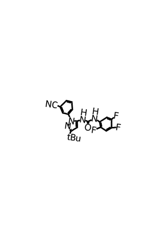 CC(C)(C)c1cc(NC(=O)Nc2cc(F)c(F)cc2F)n(-c2cccc(C#N)c2)n1